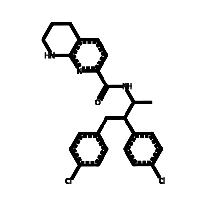 CC(NC(=O)c1ccc2c(n1)NCCC2)C(Cc1ccc(Cl)cc1)c1ccc(Cl)cc1